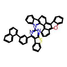 c1cc(-c2cccc3ccccc23)cc(-c2nc(-n3c4ccccc4c4ccc5c6c7ccccc7oc6c6ccccc6c5c43)nc3sc4ccccc4c23)c1